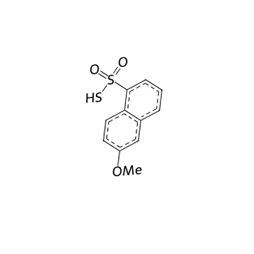 COc1ccc2c(S(=O)(=O)S)cccc2c1